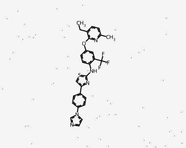 CCc1ccc(C)nc1Oc1ccc(Nc2nc(-c3ccc(-n4ccnc4)cc3)cs2)c(C(F)(F)F)c1